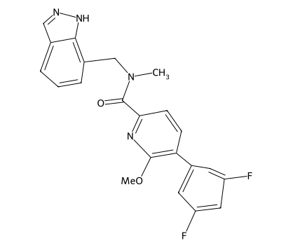 COc1nc(C(=O)N(C)Cc2cccc3cn[nH]c23)ccc1-c1cc(F)cc(F)c1